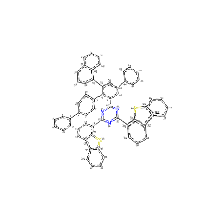 c1ccc(-c2ccc(-c3c(-c4nc(-c5cccc6c5sc5ccccc56)nc(-c5cccc6c5sc5ccccc56)n4)cc(-c4ccccc4)cc3-c3cccc4ccccc34)cc2)cc1